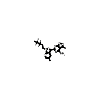 Cc1cnc2c(c1)c(-c1nc(N)c3c(C)n[nH]c3n1)nn2CCC(F)(F)C(C)(F)F